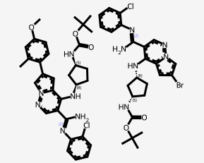 CC(C)(C)OC(=O)N[C@H]1CC[C@@H](Nc2c(/C(N)=N/c3ccccc3Cl)cnn3cc(Br)cc23)C1.COc1ccc(-c2cc3c(N[C@@H]4CC[C@H](NC(=O)OC(C)(C)C)C4)c(/C(N)=N/c4ccccc4Cl)cnn3c2)c(C)c1